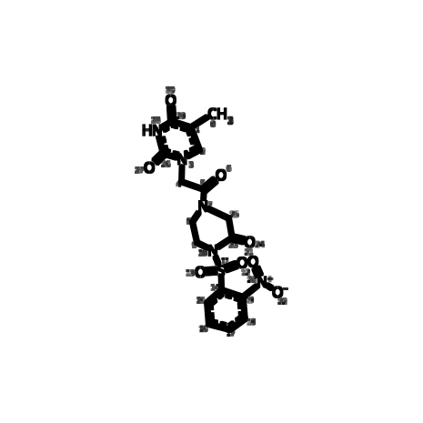 Cc1cn(CC(=O)N2CCN(S(=O)(=O)c3ccccc3[N+](=O)[O-])C(=O)C2)c(=O)[nH]c1=O